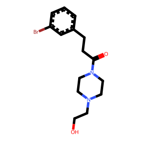 O=C(CCc1cccc(Br)c1)N1CCN(CCO)CC1